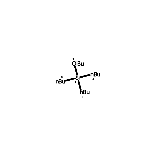 CCCC[Si](CCCC)(CCCC)OCC(C)C